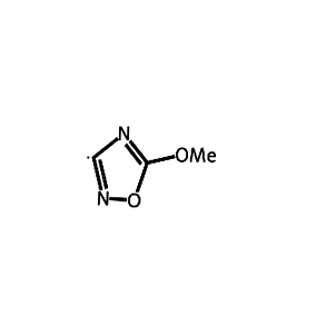 COc1n[c]no1